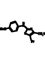 COc1ccc(Nc2nc(C(=O)O)c(C(C)C)s2)cc1